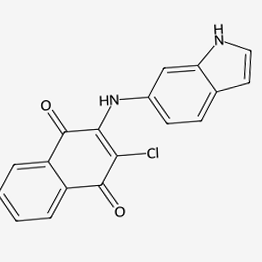 O=C1C(Cl)=C(Nc2ccc3cc[nH]c3c2)C(=O)c2ccccc21